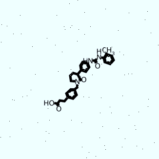 Cc1ccccc1NC(=O)Nc1ccc(C2CCCN(Cc3ccc(CCC(=O)O)cc3)C2=O)cc1